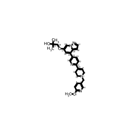 COc1ccc(CN2CC=C(c3ccc(-c4cc(OCC(C)(C)O)cn5nccc45)cn3)CC2)cn1